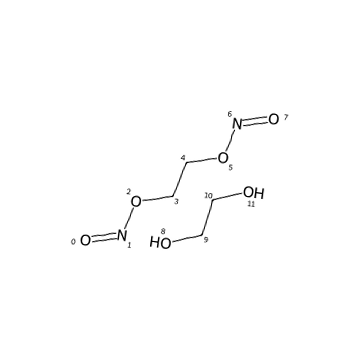 O=NOCCON=O.OCCO